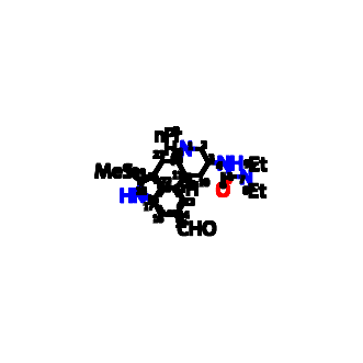 CCCN1CC(NC(=O)N(CC)CC)C[C@@H]2c3cc(C=O)cc4[nH]c(SC)c(c34)C[C@H]21